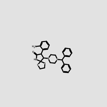 Nc1ccccc1C1C(=O)NC2(SCCS2)C1N1CCN(C(c2ccccc2)c2ccccc2)CC1